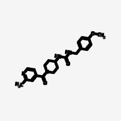 COc1ccc(CNC(=O)NC2CCN(C(=O)c3ccnc(C)c3)CC2)cc1